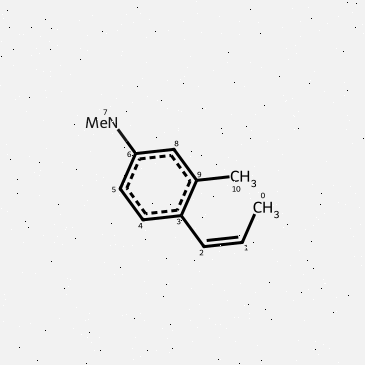 C/C=C\c1ccc(NC)cc1C